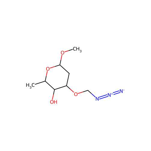 COC1CC(OCN=[N+]=[N-])C(O)C(C)O1